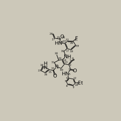 C=C=C(C(=O)Nc1cccc(CC)c1)C1=C(NCc2ccc(F)cc2NC(=O)C=C)C(C)CN(C(=O)c2ccc[nH]2)C1